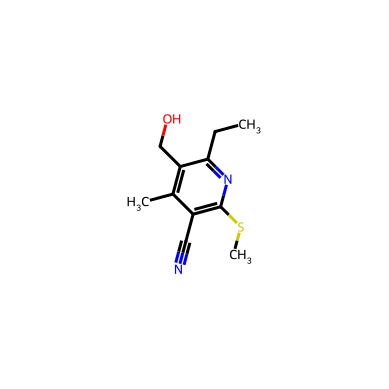 CCc1nc(SC)c(C#N)c(C)c1CO